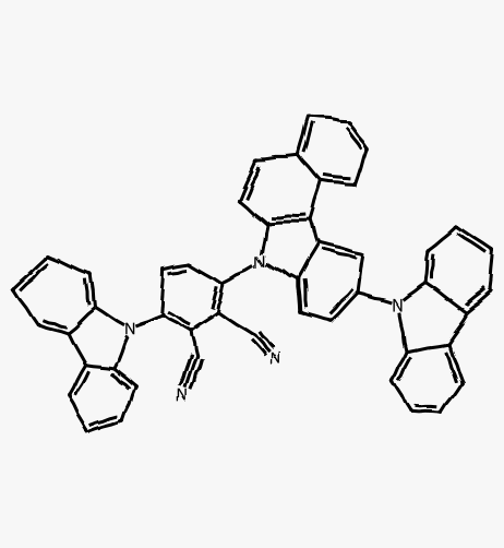 N#Cc1c(-n2c3ccccc3c3ccccc32)ccc(-n2c3ccc(-n4c5ccccc5c5ccccc54)cc3c3c4ccccc4ccc32)c1C#N